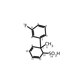 CC1(c2cccc(F)c2)C=CC=CC1S(=O)(=O)O